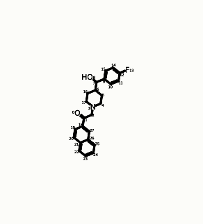 O=C(CN1CCC(C(O)c2ccc(F)cc2)CC1)c1ccc2ccccc2c1